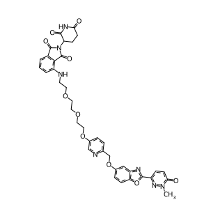 Cn1nc(-c2nc3cc(OCc4ccc(OCCOCCOCCNc5cccc6c5C(=O)N(C5CCC(=O)NC5=O)C6=O)cn4)ccc3o2)ccc1=O